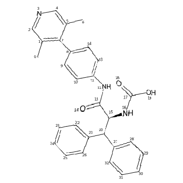 Cc1cncc(C)c1-c1ccc(NC(=O)[C@@H](NC(=O)O)C(c2ccccc2)c2ccccc2)cc1